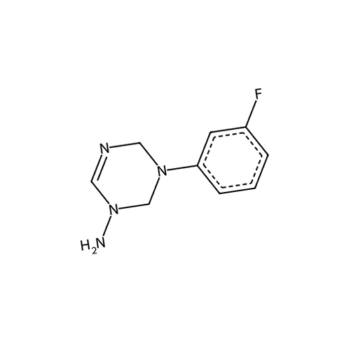 NN1C=NCN(c2cccc(F)c2)C1